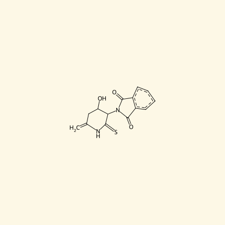 C=C1CC(O)C(N2C(=O)c3ccccc3C2=O)C(=S)N1